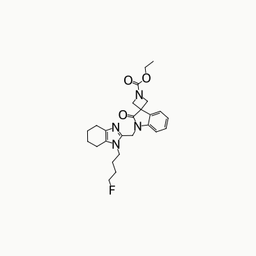 CCOC(=O)N1CC2(C1)C(=O)N(Cc1nc3c(n1CCCCF)CCCC3)c1ccccc12